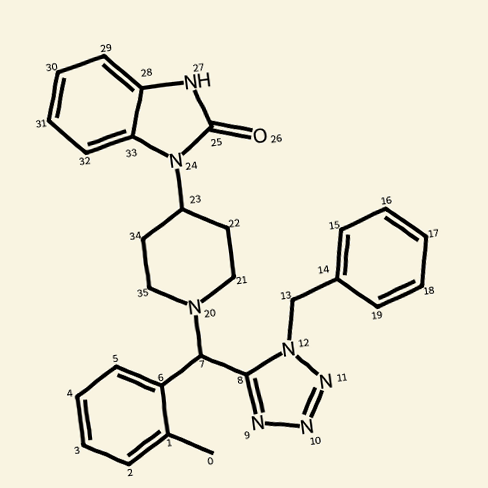 Cc1ccccc1C(c1nnnn1Cc1ccccc1)N1CCC(n2c(=O)[nH]c3ccccc32)CC1